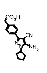 N#Cc1c(-c2ccc(CC(=O)O)cc2)nn(C2CCCC2)c1N